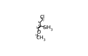 CCOC=C([SiH3])CCCl